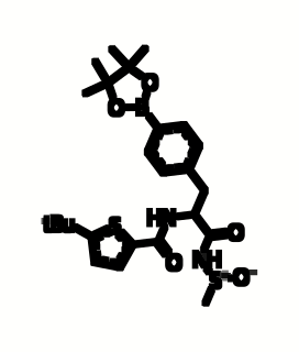 C[S+]([O-])NC(=O)C(Cc1ccc(B2OC(C)(C)C(C)(C)O2)cc1)NC(=O)c1ccc(C(C)(C)C)s1